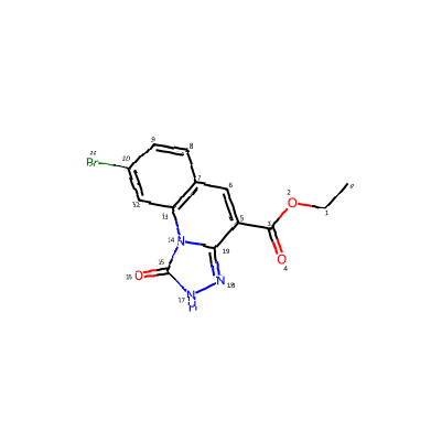 CCOC(=O)c1cc2ccc(Br)cc2n2c(=O)[nH]nc12